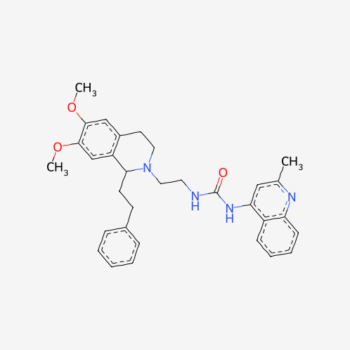 COc1cc2c(cc1OC)C(CCc1ccccc1)N(CCNC(=O)Nc1cc(C)nc3ccccc13)CC2